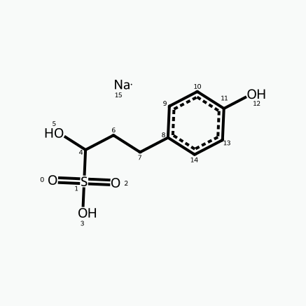 O=S(=O)(O)C(O)CCc1ccc(O)cc1.[Na]